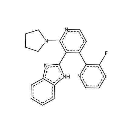 Fc1cccnc1-c1ccnc(N2CCCC2)c1-c1nc2ccccc2[nH]1